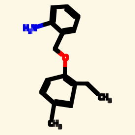 CCc1cc(C)ccc1OCc1ccccc1N